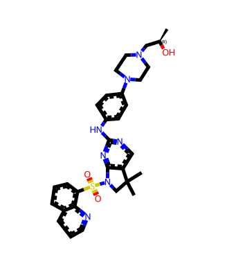 C[C@@H](O)CN1CCN(c2ccc(Nc3ncc4c(n3)N(S(=O)(=O)c3cccc5cccnc35)CC4(C)C)cc2)CC1